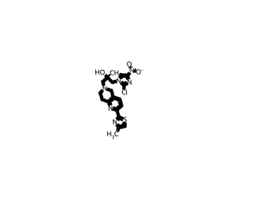 Cc1csc(-c2ccc3c(n2)CCN(C[C@](C)(O)Cn2cc([N+](=O)[O-])nc2Cl)C3)n1